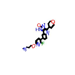 CN(C)CCCOc1ccc(-c2ccc3nc(C4CCOCC4)c4c([nH]c(=O)n4C)c3c2)c(F)n1